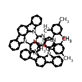 Cc1cc(C)c(B(c2nc(-n3c4ccccc4c4ccc5c6ccccc6n(-c6cncnc6)c5c43)nc(-n3c4ccccc4c4ccc5c6ccccc6n(-c6cncnc6)c5c43)n2)c2c(C)cc(C)cc2C)c(C)c1